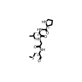 CSC[C@@H](C=O)NC(=O)CNC(=O)[C@H](CC(C)C)NC(=O)[C@@H]1CCCN1